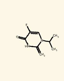 C=C1NC(=O)C(F)=CN1C(C)C